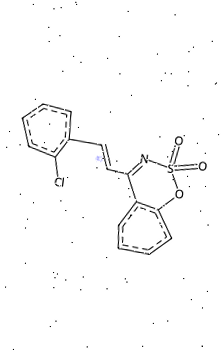 O=S1(=O)N=C(/C=C/c2ccccc2Cl)c2ccccc2O1